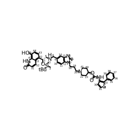 CC(C)(C)[Si](C)(C)O[C@@H](CNCc1ccc2c(c1)nnn2CCCN1CCC(OC(=O)Nc2ccsc2-c2ccccc2)CC1)c1ccc(O)c2[nH]c(=O)ccc12